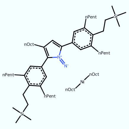 CCCCCCCCC1=C(c2cc(CCCCC)c(CC[Si](C)(C)C)c(CCCCC)c2)[N+](=[N-])C(c2cc(CCCCC)c(CC[Si](C)(C)C)c(CCCCC)c2)=C1.CCCCCCC[CH2][Ni][CH2]CCCCCCC